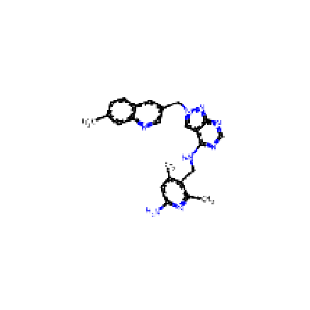 Cc1ccc2cc(Cn3cc4c(NCc5c(C)cc(N)nc5C)ncnc4n3)cnc2c1